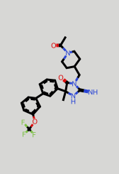 CC(=O)N1CCC(CN2C(=N)NC(C)(c3cccc(-c4cccc(OC(F)(F)F)c4)c3)C2=O)CC1